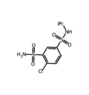 CC(C)NS(=O)(=O)c1ccc(Cl)c(S(N)(=O)=O)c1